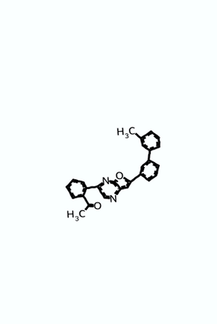 CC(=O)c1ccccc1-c1cnc2cc(-c3cccc(-c4cccc(C)c4)c3)oc2n1